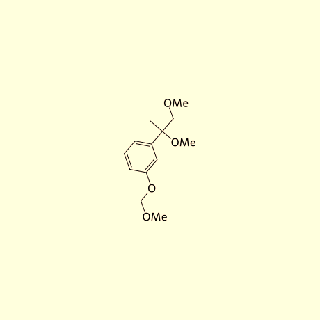 COCOc1cccc(C(C)(COC)OC)c1